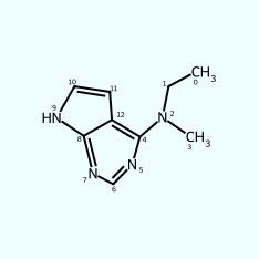 CCN(C)c1ncnc2[nH]ccc12